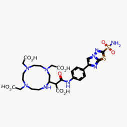 NS(=O)(=O)c1nn2cc(-c3ccc(NC(=O)C(C(=O)O)C4CN(CC(=O)O)CCN(CC(=O)O)CCN(CC(=O)O)CCN4)cc3)nc2s1